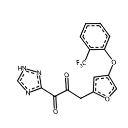 O=C(Cc1cc(Oc2ccccc2C(F)(F)F)co1)C(=O)c1nc[nH]n1